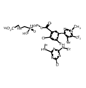 CC(C)OC(=O)c1cc(-c2nn(C)c(C(F)(F)F)c2Br)c(F)cc1Cl.CCNc1nc(Cl)nc(NC(C)C)n1.O=C(O)CNCP(=O)(O)O